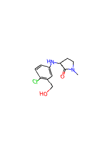 CN1CCC(Nc2ccc(Cl)c(CO)c2)C1=O